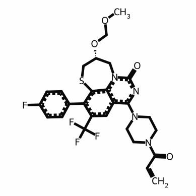 C=CC(=O)N1CCN(c2nc(=O)n3c4c(c(-c5ccc(F)cc5)c(C(F)(F)F)cc24)SC[C@H](OCOC)C3)CC1